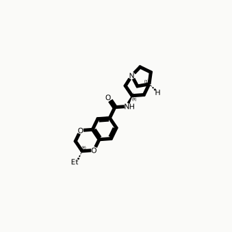 CC[C@@H]1COc2cc(C(=O)N[C@@H]3C[C@@H]4CCN(C4)C3)ccc2O1